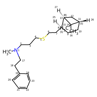 CN(CCCSCC[C@@H]1CC[C@H]2C[C@H]1C2(C)C)CCc1ccccc1